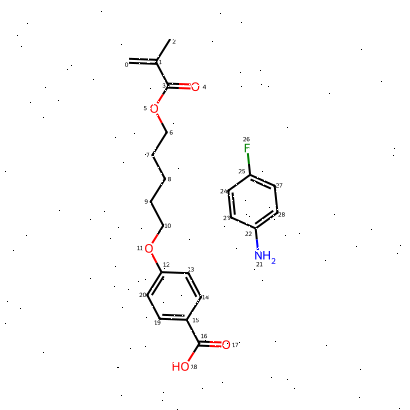 C=C(C)C(=O)OCCCCCOc1ccc(C(=O)O)cc1.Nc1ccc(F)cc1